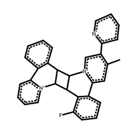 Cc1cc2[n+](cc1-c1ccccn1)C1C3c4ccccc4-c4cccc[n+]4C3C1c1c(F)cccc1-2